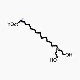 CCCCCCCC/C=C\CCCCCCCCCCCCN(CCO)CCO